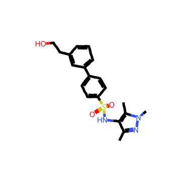 Cc1nn(C)c(C)c1NS(=O)(=O)c1ccc(-c2cccc(CCO)c2)cc1